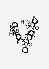 Cn1c(=O)n(-c2ccc(C[C@H](NC(=O)c3ccc(NS(=O)(=O)c4ccccn4)cc3F)C(=O)OC3CCCCC3)nc2)c(=O)c2ccncc21